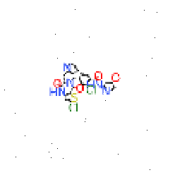 COc1ccnc(NC(=O)c2ccc(CN3C(=O)c4sc(Cl)cc4NC(=O)C3Cc3ccccn3)cc2Cl)c1